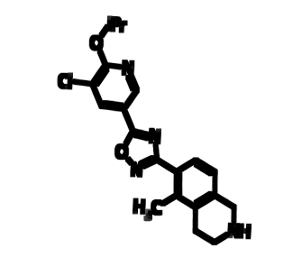 Cc1c(-c2noc(-c3cnc(OC(C)C)c(Cl)c3)n2)ccc2c1CCNC2